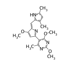 COC1=CC(c2c(C)nc(OC)nc2OC)=N/C1=C\c1[nH]c(C)cc1C